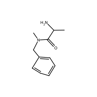 CC(N)C(=O)N(C)Cc1ccccc1